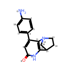 Nc1ccc(-c2cc(=O)[nH]c3c2N2CCC3C2)cc1